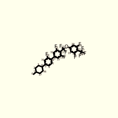 CC1CCC(c2ccc(-c3cc(F)c(C(F)(F)Oc4cc(F)c(C(F)(F)F)c(F)c4)c(F)c3)c(F)c2)CC1